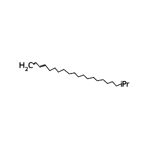 C=CC=CCCCCCCCCCCCCCCCC(C)C